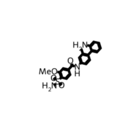 COc1cc(C(=O)Nc2ccc(-c3ccccc3N)c(C)c2)ccc1S(N)(=O)=O